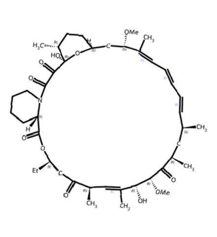 CC[C@@H]1CC(=O)[C@H](C)/C=C(\C)[C@@H](O)[C@@H](OC)C(=O)[C@H](C)C[C@H](C)/C=C/C=C/C=C(\C)[C@@H](OC)C[C@@H]2CC[C@@H](C)[C@@](O)(O2)C(=O)C(=O)N2CCCC[C@H]2C(=O)O1